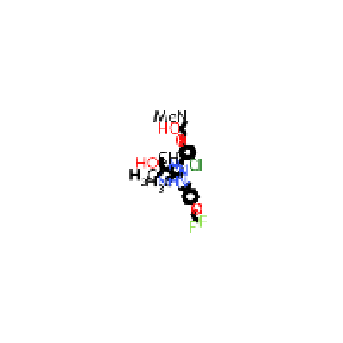 CNC[C@@H](O)COc1ccc(Cl)c(-c2nc(/C(C(C)=N)=C(\C)O)c(C)c(N3CC4(CCC(OCC(F)F)CC4)C3)n2)c1